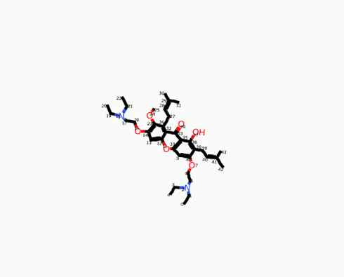 CCN(CC)CCOc1cc2oc3cc(OCCN(CC)CC)c(OC)c(CC=C(C)C)c3c(=O)c2c(O)c1CC=C(C)C